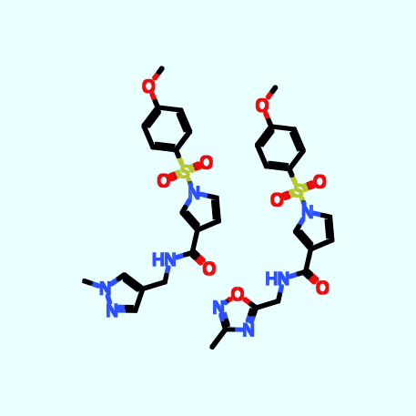 COc1ccc(S(=O)(=O)n2ccc(C(=O)NCc3cnn(C)c3)c2)cc1.COc1ccc(S(=O)(=O)n2ccc(C(=O)NCc3nc(C)no3)c2)cc1